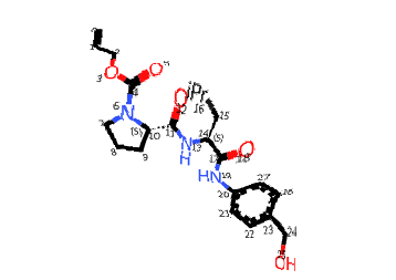 C=CCOC(=O)N1CCC[C@H]1C(=O)N[C@@H](CC(C)C)C(=O)Nc1ccc(CO)cc1